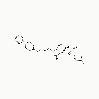 Cc1ccc(S(=O)(=O)Oc2ccc3c(CCCCN4CCC(c5ccccc5)CC4)c[nH]c3c2)cc1